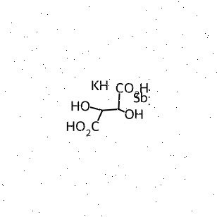 O=C(O)C(O)C(O)C(=O)O.[KH].[Sb]